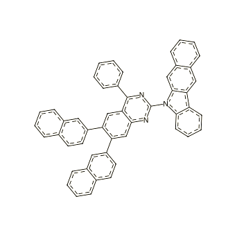 c1ccc(-c2nc(-n3c4ccccc4c4cc5ccccc5cc43)nc3cc(-c4ccc5ccccc5c4)c(-c4ccc5ccccc5c4)cc23)cc1